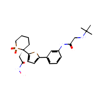 CC(C)(C)NCC(=O)Nc1cccc(-c2ccc([C@@]3(CC(=O)NO)CCCCS3(=O)=O)s2)c1